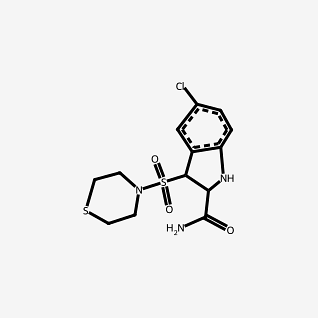 NC(=O)C1Nc2ccc(Cl)cc2C1S(=O)(=O)N1CCSCC1